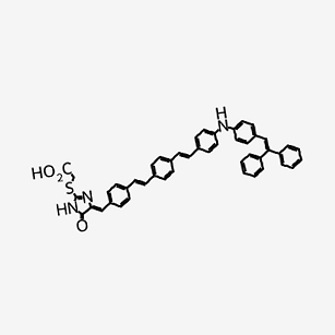 O=C(O)CSC1=N/C(=C\c2ccc(/C=C/c3ccc(/C=C/c4ccc(Nc5ccc(C=C(c6ccccc6)c6ccccc6)cc5)cc4)cc3)cc2)C(=O)N1